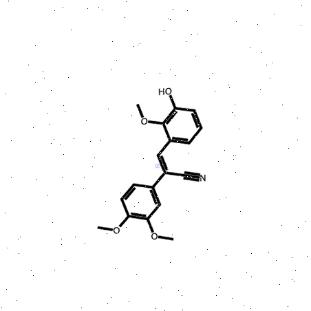 COc1ccc(/C(C#N)=C/c2cccc(O)c2OC)cc1OC